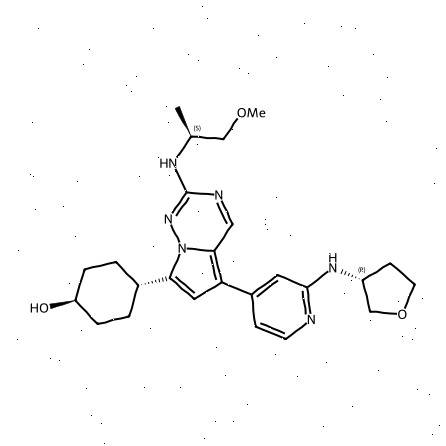 COC[C@H](C)Nc1ncc2c(-c3ccnc(N[C@@H]4CCOC4)c3)cc([C@H]3CC[C@H](O)CC3)n2n1